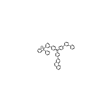 c1ccc(-c2cccc(-c3ccc(N(c4ccc(-c5cccc(-c6oc7ccccc7c6-c6ccccc6)c5)cc4)c4ccc(-c5ccc6c(ccc7ccccc76)c5)cc4)cc3)c2)cc1